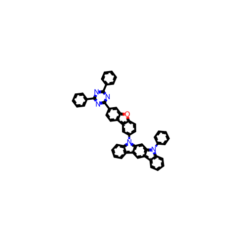 c1ccc(-c2nc(-c3ccccc3)nc(-c3ccc4c(c3)oc3ccc(-n5c6ccccc6c6cc7c8ccccc8n(-c8ccccc8)c7cc65)cc34)n2)cc1